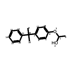 CC(O)Oc1ccc(C(C)(C)c2ccccc2)cc1